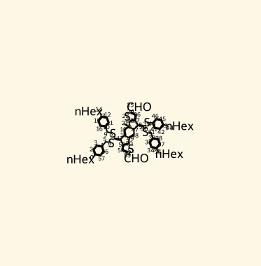 CCCCCCc1ccc(CSC(SCc2ccc(CCCCCC)cc2)=C2C3=CC4(C)c5sc(C=O)cc5/C(=C(/SCc5ccc(CCCCCC)cc5)Sc5ccc(CCCCCC)cc5)C4C=C3c3sc(C=O)cc32)cc1